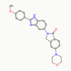 CCCOc1ccc(-c2nc3cc(N4Cc5cc(N6CCOCC6)ccc5C4=O)ccc3[nH]2)cc1